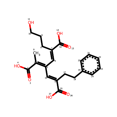 CC(C(=O)O)=C(C=C(CCCO)C(=O)O)C=C(CCc1ccccc1)C(=O)O